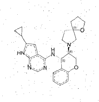 c1ccc2c(c1)OC[C@H](N1CC[C@@]3(CCCO3)C1)[C@H]2Nc1ncnc2[nH]c(C3CC3)cc12